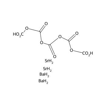 O=C(O)OC(=O)OC(=O)OC(=O)OC(=O)O.[BaH2].[BaH2].[SrH2].[SrH2]